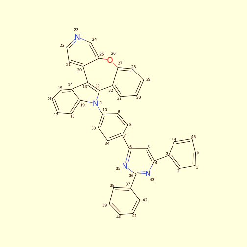 c1ccc(-c2cc(-c3ccc(-n4c5c(c6ccccc64)-c4ccncc4Oc4ccccc4-5)cc3)nc(-c3ccccc3)n2)cc1